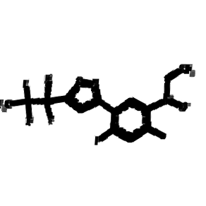 Cc1cc(F)c(-c2cc(C(F)(F)C(F)(F)C(F)(F)F)on2)cc1[S+]([O-])CC(F)(F)F